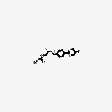 C[C@@H](CNC(=O)OC(C)(C)C)NCc1ccc(-c2ncc(F)cn2)cc1